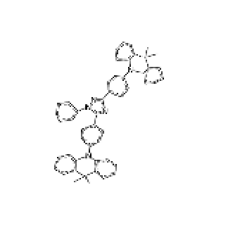 CC1(C)c2ccccc2N(c2ccc(-c3nc(-c4ccc(N5c6ccccc6C(C)(C)c6ccccc65)cc4)n(-c4ccccc4)n3)cc2)c2ccccc21